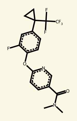 CN(C)C(=O)c1ccc(Oc2ccc(C3(C(F)(F)C(F)(F)F)CC3)cc2F)nc1